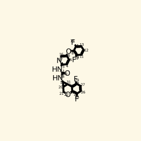 O=C(Nc1ccc(Oc2c(F)cccc2F)cn1)NC1C2COc3c(F)ccc(F)c3C21